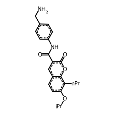 CCCc1c(OC(C)C)ccc2cc(C(=O)Nc3ccc(CN)cc3)c(=O)oc12